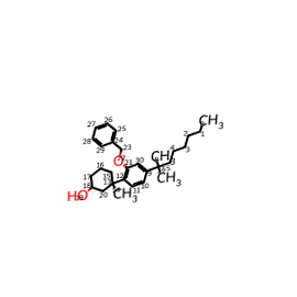 CCCCCCC(C)(C)c1ccc(C2(C)CCCC(O)C2)c(OCc2ccccc2)c1